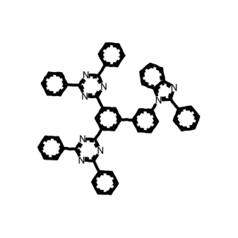 c1ccc(-c2nc(-c3ccccc3)nc(-c3cc(-c4cccc(-n5c(-c6ccccc6)nc6ccccc65)c4)cc(-c4nc(-c5ccccc5)nc(-c5ccccc5)n4)c3)n2)cc1